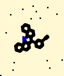 C#Cc1cccc(-c2c3ccc4ccccc4c3nc3c2ccc2ccccc23)c1